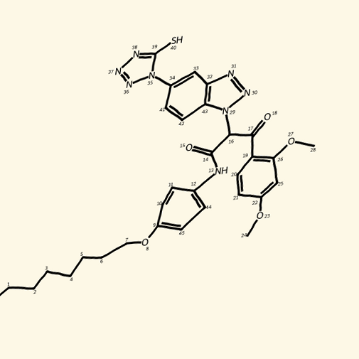 CCCCCCCCOc1ccc(NC(=O)C(C(=O)c2ccc(OC)cc2OC)n2nnc3cc(-n4nnnc4S)ccc32)cc1